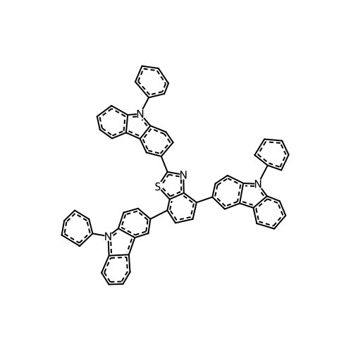 c1ccc(-n2c3ccccc3c3cc(-c4nc5c(-c6ccc7c(c6)c6ccccc6n7-c6ccccc6)ccc(-c6ccc7c(c6)c6ccccc6n7-c6ccccc6)c5s4)ccc32)cc1